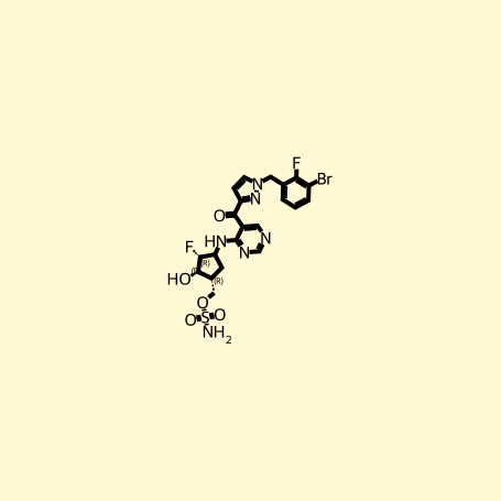 NS(=O)(=O)OC[C@H]1CC(Nc2ncncc2C(=O)c2ccn(Cc3cccc(Br)c3F)n2)[C@@H](F)[C@@H]1O